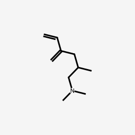 C=CC(=C)CC(C)CN(C)C